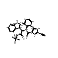 C#Cc1nc(C(=O)N(c2c(F)cccc2F)C(C(=O)NC(C)(C)C)c2csc3ccccc23)cs1